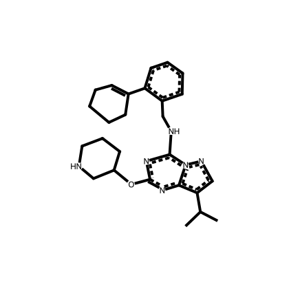 CC(C)c1cnn2c(NCc3ccccc3C3=CCCCC3)nc(OC3CCCNC3)nc12